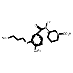 COCCCOc1cc(C(=O)N(C(C)C)[C@@H]2CCCN(C(=O)O)C2)ccc1OC